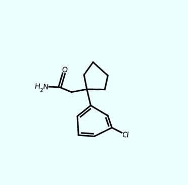 NC(=O)CC1(c2cccc(Cl)c2)CCCC1